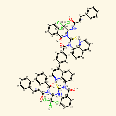 O=C(/C=C/c1ccccc1)NC(N(C(=O)c1ccccc1)C(=S)N(C(=O)c1ccc(-c2ccnc3c(N(C(=O)c4ccccc4)C(=S)NC(N(C(=O)/C=C/c4ccccc4)C(=O)c4ccccc4)C(Cl)(Cl)Cl)cccc23)cc1)c1cccc2cccnc12)C(Cl)(Cl)Cl